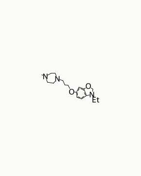 CCN1COc2cc(OCCCN3CCN(C)CC3)ccc21